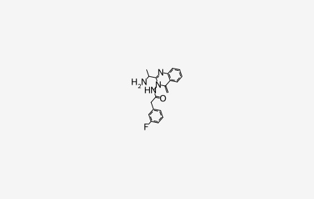 C=C1c2ccccc2N=C(C(C)N)N1NC(=O)Cc1cccc(F)c1